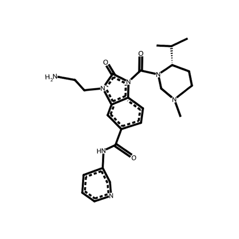 CC(C)[C@@H]1CCN(C)CN1C(=O)n1c(=O)n(CCN)c2cc(C(=O)Nc3cccnc3)ccc21